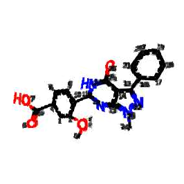 COc1cc(C(=O)O)ccc1-c1nc2c(c(-c3ccccc3)nn2C)c(=O)[nH]1